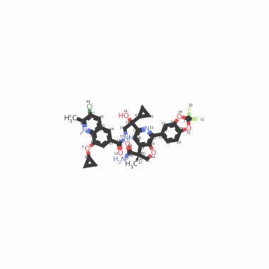 Cc1nc2c(OC3CC3)cc(C(=O)NCC(O)(c3cc4c(c(-c5ccc6c(c5)OC(F)(F)O6)n3)OC[C@]4(C)C(N)=O)C3CC3)cc2cc1Cl